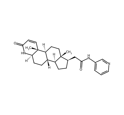 C[C@]12C=CC(=O)N[C@@H]1CC[C@@H]1[C@@H]2CC[C@]2(C)[C@@H](CC(=O)Nc3cccnc3)CC[C@@H]12